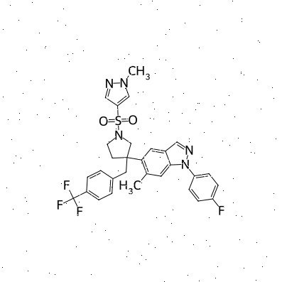 Cc1cc2c(cnn2-c2ccc(F)cc2)cc1C1(Cc2ccc(C(F)(F)F)cc2)CCN(S(=O)(=O)c2cnn(C)c2)C1